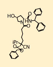 CC(C)C(C#N)(CCCCC(=O)N1C[C@@H](O)C[C@@H]1C(=O)NC(c1ccccc1)c1ccccc1)S(=O)(=O)c1ccccc1